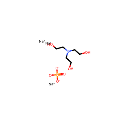 O=P([O-])([O-])[O-].OCCN(CCO)CCO.[Na+].[Na+].[Na+]